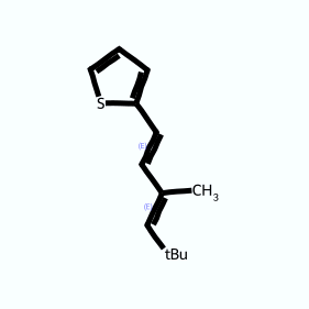 CC(/C=C/c1cccs1)=C\C(C)(C)C